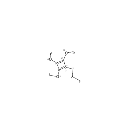 CCC[Si]1=C(OC)C(OC)=C1OC